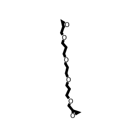 C(COCCCOCC1CO1)COCCCOCC1CO1